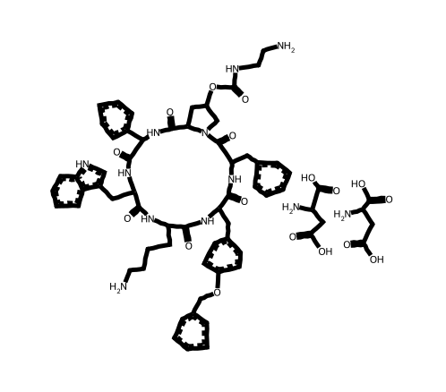 NC(CC(=O)O)C(=O)O.NC(CC(=O)O)C(=O)O.NCCCCC1NC(=O)C(Cc2c[nH]c3ccccc23)NC(=O)C(c2ccccc2)NC(=O)C2CC(OC(=O)NCCN)CN2C(=O)C(Cc2ccccc2)NC(=O)C(Cc2ccc(OCc3ccccc3)cc2)NC1=O